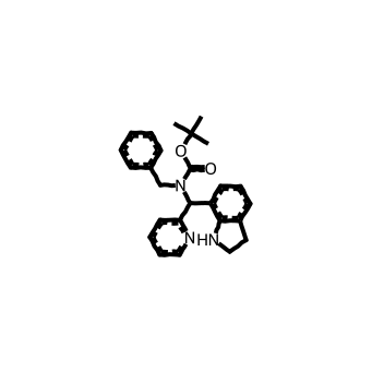 CC(C)(C)OC(=O)N(Cc1ccccc1)C(c1ccccn1)c1cccc2c1NCC2